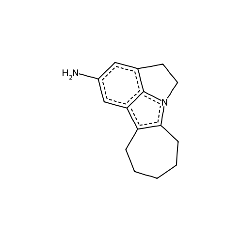 Nc1cc2c3c(c1)c1c(n3CC2)CCCCC1